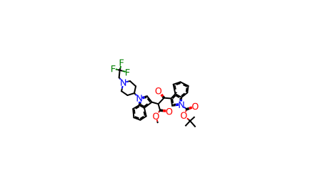 COC(=O)C(C(=O)c1cn(C(=O)OC(C)(C)C)c2ccccc12)c1cn(C2CCN(CC(F)(F)F)CC2)c2ccccc12